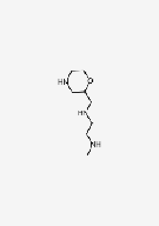 CNCCNCC1CNCCO1